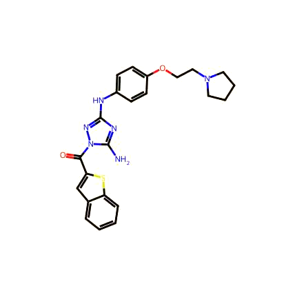 Nc1nc(Nc2ccc(OCCN3CCCC3)cc2)nn1C(=O)c1cc2ccccc2s1